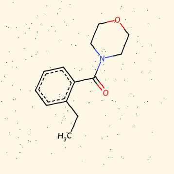 CCc1ccccc1C(=O)N1CCOCC1